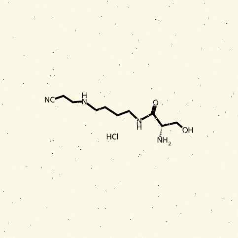 Cl.N#CCCNCCCCNC(=O)[C@@H](N)CO